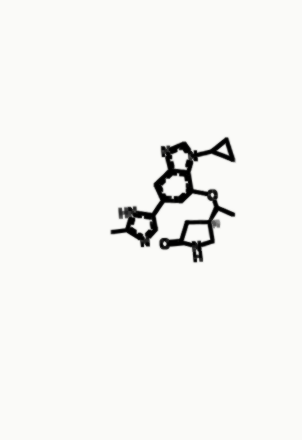 Cc1ncc(-c2cc(OC(C)[C@H]3CNC(=O)C3)c3c(c2)ncn3C2CC2)[nH]1